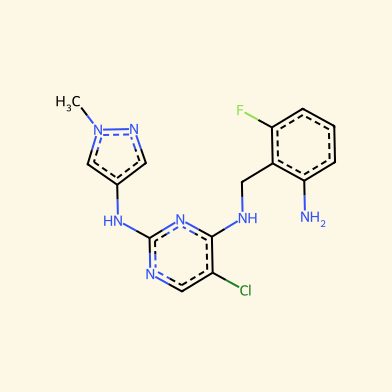 Cn1cc(Nc2ncc(Cl)c(NCc3c(N)cccc3F)n2)cn1